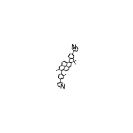 Cc1cc(-c2cccnc2)ccc1-c1c(C)cc2ccc3c4c(cc5ccc1c2c53)C(C)(C)c1cc(-c2cccnc2)ccc1-4